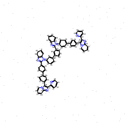 C1=Cc2c(nc(-c3ccc(-c4ccc(-c5c(-c6ccccn6)nc6ccccn56)cc4)cc3)n2-c2cccc(-c3cccc(-c4nc5ccccc5n4-c4ccc(-c5ccc(-c6c(-c7ccccn7)nc7ccccn67)cc5)cc4)c3)c2)CC1